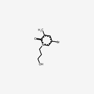 Cc1cc(Br)cn(CCCO)c1=O